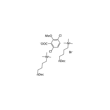 CCCCCCCCCCCCCC[N+](C)(C)C.CCCCCCCCCCCCCC[N+](C)(C)C.COc1c(Cl)ccc(Cl)c1C(=O)[O-].[Br-]